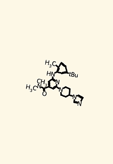 Cc1ccc(C(C)(C)C)cc1Nc1cc(C(=O)N(C)C)cc(N2CCC(n3ccnc3)CC2)n1